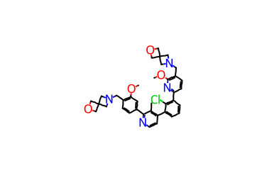 COc1cc(-c2nccc(-c3cccc(-c4ccc(CN5CC6(COC6)C5)c(OC)n4)c3Cl)c2C)ccc1CN1CC2(COC2)C1